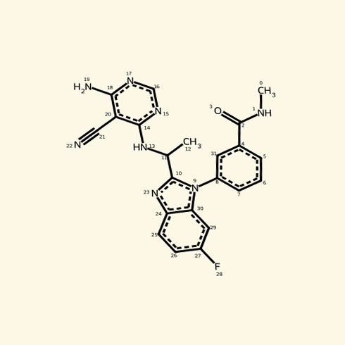 CNC(=O)c1cccc(-n2c(C(C)Nc3ncnc(N)c3C#N)nc3ccc(F)cc32)c1